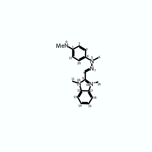 CNc1ccc(N(C)/N=C/c2n(C)c3ccccc3[n+]2C)cc1